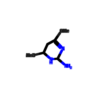 COC1=NC(N)NC(OC)C1